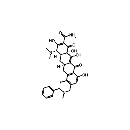 CN(Cc1ccccc1)Cc1cc(O)c2c(c1F)C[C@H]1C[C@H]3[C@H](N(C)C)C(O)=C(C(N)=O)C(=O)[C@@]3(O)C(O)=C1C2=O